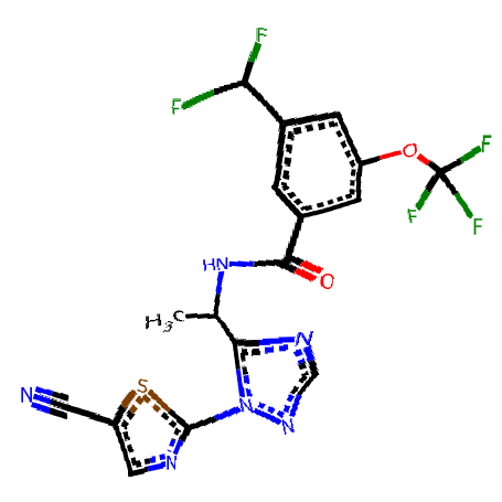 CC(NC(=O)c1cc(OC(F)(F)F)cc(C(F)F)c1)c1ncnn1-c1ncc(C#N)s1